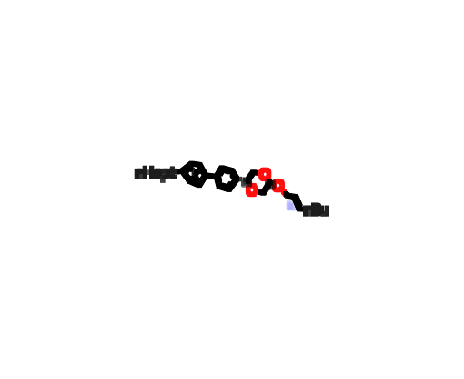 CCCC/C=C/CO[C@H]1CO[C@H](c2ccc(C34CCC(CCCCCCC)(CC3)CC4)cc2)CO1